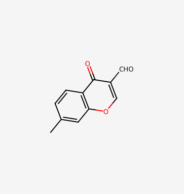 Cc1ccc2c(=O)c(C=O)coc2c1